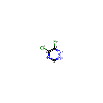 Fc1nn[c]nc1Cl